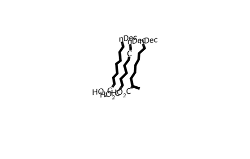 CCCCCCCCCCCCCCCCC(C)C(=O)O.CCCCCCCCCCCCCCCCCC(=O)O.CCCCCCCCCCCCCCCCCC(=O)O